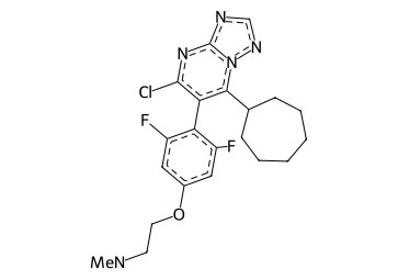 CNCCOc1cc(F)c(-c2c(Cl)nc3ncnn3c2C2CCCCCC2)c(F)c1